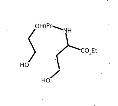 CCCNC(CCO)C(=O)OCC.OCCO